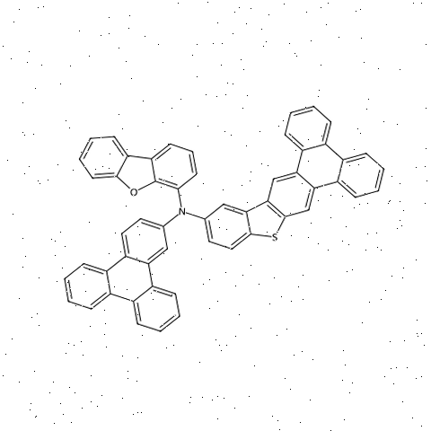 c1ccc2c(c1)oc1c(N(c3ccc4sc5cc6c7ccccc7c7ccccc7c6cc5c4c3)c3ccc4c5ccccc5c5ccccc5c4c3)cccc12